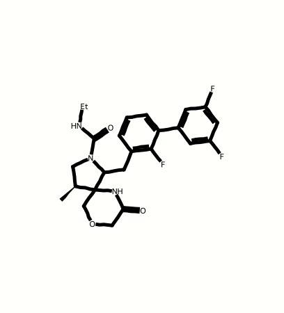 CCNC(=O)N1C[C@H](C)C2(COCC(=O)N2)C1Cc1cccc(-c2cc(F)cc(F)c2)c1F